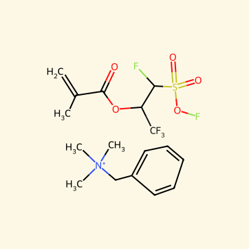 C=C(C)C(=O)OC(C(F)S(=O)(=O)OF)C(F)(F)F.C[N+](C)(C)Cc1ccccc1